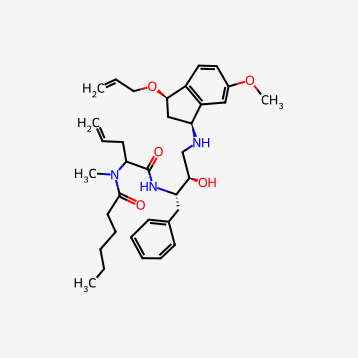 C=CCO[C@@H]1C[C@H](NC[C@@H](O)[C@H](Cc2ccccc2)NC(=O)C(CC=C)N(C)C(=O)CCCCC)c2cc(OC)ccc21